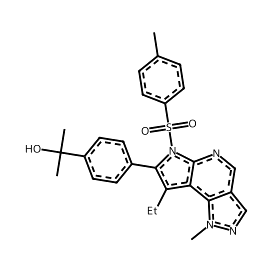 CCc1c(-c2ccc(C(C)(C)O)cc2)n(S(=O)(=O)c2ccc(C)cc2)c2ncc3cnn(C)c3c12